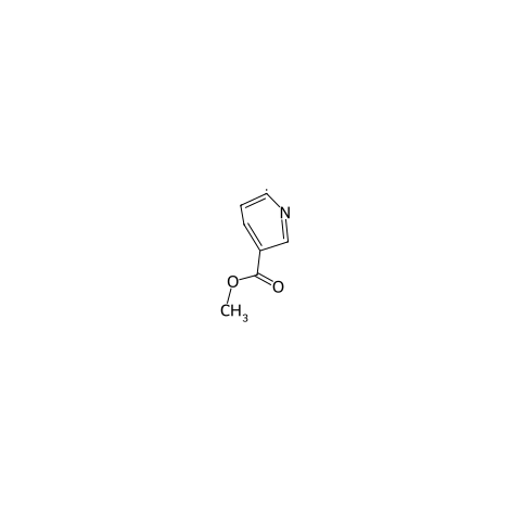 COC(=O)c1cc[c]nc1